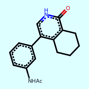 CC(=O)Nc1cccc(-c2c[nH]c(=O)c3c2CCCC3)c1